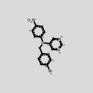 O=[N+]([O-])c1ccc(N(Cc2ccc(Br)cc2)c2cncnc2)cc1